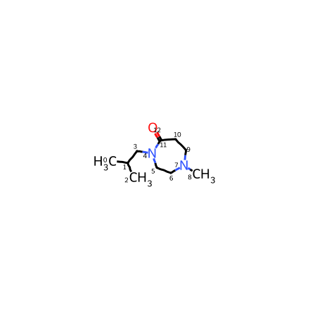 CC(C)CN1CCN(C)CCC1=O